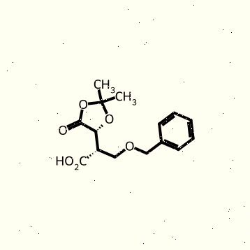 CC1(C)OC(=O)[C@@H]([C@H](COCc2ccccc2)C(=O)O)O1